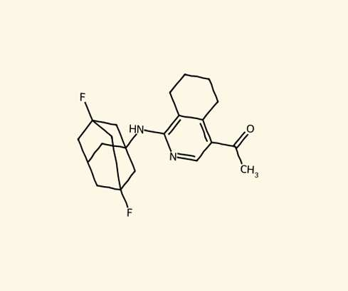 CC(=O)c1cnc(NC23CC4CC(F)(CC(F)(C4)C2)C3)c2c1CCCC2